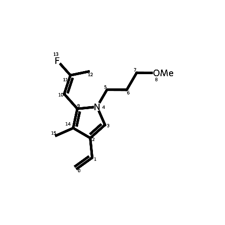 C=Cc1cn(CCCOC)c(/C=C(\C)F)c1C